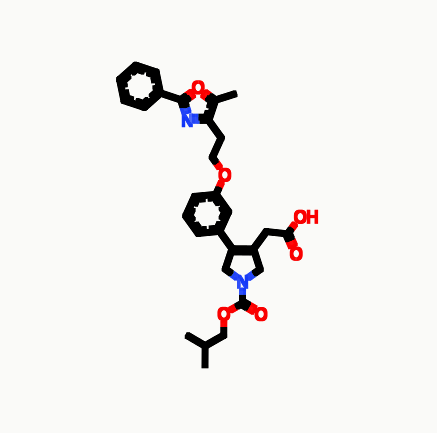 Cc1oc(-c2ccccc2)nc1CCOc1cccc(C2=C(CC(=O)O)CN(C(=O)OCC(C)C)C2)c1